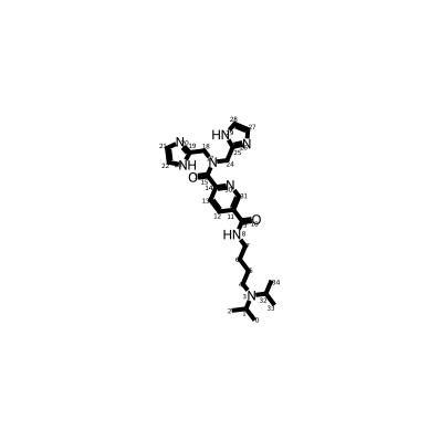 CC(C)N(CCCCNC(=O)c1ccc(C(=O)N(Cc2ncc[nH]2)Cc2ncc[nH]2)nc1)C(C)C